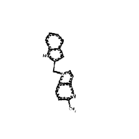 Cc1ccc2c(ccn2Cc2cc3ccccc3[nH]2)n1